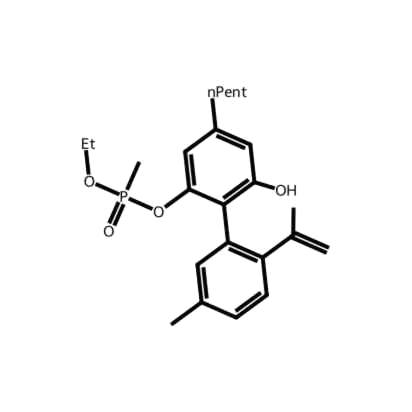 C=C(C)c1ccc(C)cc1-c1c(O)cc(CCCCC)cc1OP(C)(=O)OCC